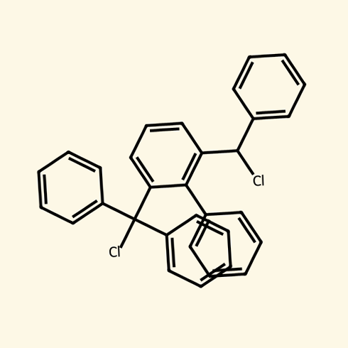 ClC(c1ccccc1)c1cccc(C(Cl)(c2ccccc2)c2ccccc2)c1-c1ccccc1